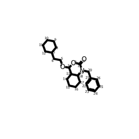 O=C1OC(OCCC2CCCCC2)C2CCCCC2N1Cc1ccccc1